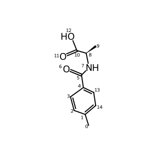 Cc1ccc(C(=O)N[C@H](C)C(=O)O)cc1